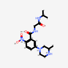 CC(C)NC(=O)CNC(=O)c1cc(N2CCNC(C)C2)ccc1[N+](=O)[O-]